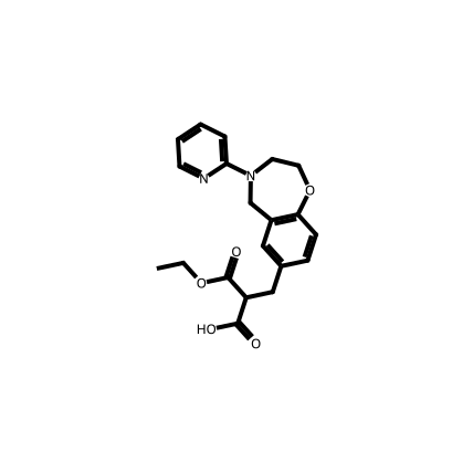 CCOC(=O)C(Cc1ccc2c(c1)CN(c1ccccn1)CCO2)C(=O)O